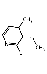 CC[C@@H]1C(F)=NC=CC1C